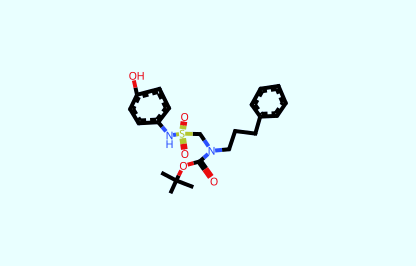 CC(C)(C)OC(=O)N(CCCc1ccccc1)CS(=O)(=O)Nc1ccc(O)cc1